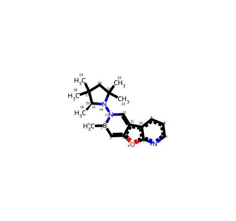 CB1C=c2oc3ncccc3c2=CN1N1[C@@H](C)C(C)(C)CC1(C)C